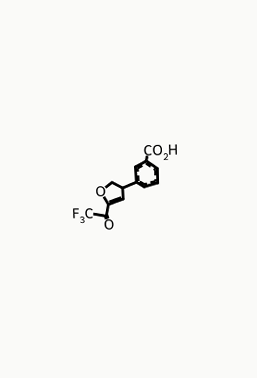 O=C(O)c1cccc(C2C=C(C(=O)C(F)(F)F)OC2)c1